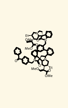 CC[C@H]1CN2CC[C@]3(C(=O)N(Cc4ccccc4-c4ccccc4C4C[C@]5(C(=O)N(Cc6ccc(C(=O)c7ccccc7)cc6)c6ccccc65)C5C[C@H](/C(=C\OC)C(=O)OC)[C@@H](CC)CN45)c4ccccc43)C2C[C@@H]1/C(=C\OC)C(=O)OC